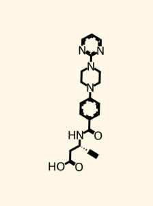 C#C[C@H](CC(=O)O)NC(=O)c1ccc(N2CCN(c3ncccn3)CC2)cc1